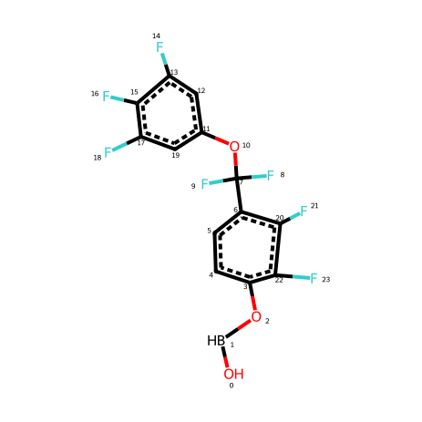 OBOc1ccc(C(F)(F)Oc2cc(F)c(F)c(F)c2)c(F)c1F